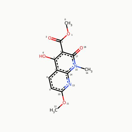 COC(=O)c1c(O)c2ccc(OC)nc2n(C)c1=O